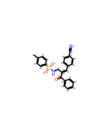 Cc1ccc(S(=O)(=O)NC/C(=C\c2ccc(C#N)cc2)C(=O)c2ccccc2)cc1